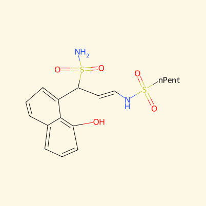 CCCCCS(=O)(=O)NC=CC(c1cccc2cccc(O)c12)S(N)(=O)=O